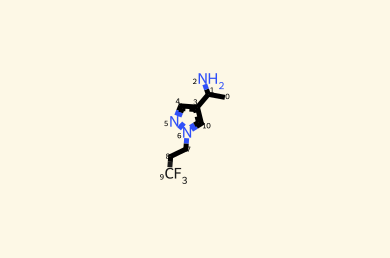 CC(N)c1cnn(CCC(F)(F)F)c1